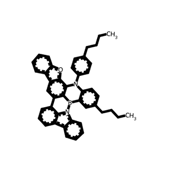 CCCCc1ccc(N2c3ccc(CCCC)cc3B3c4c(cc5c(oc6ccccc65)c42)-c2cccc4c5ccccc5n3c24)cc1